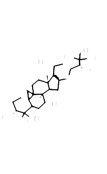 CC(=O)O[C@@H]([C@H]1C[C@@H](C)C2=C(O1)[C@H](O)[C@@]1(C)[C@@H]3CC[C@H]4C(C)(C)[C@@H](O)CC[C@@]45CC35CC[C@]21C)C(C)(C)O